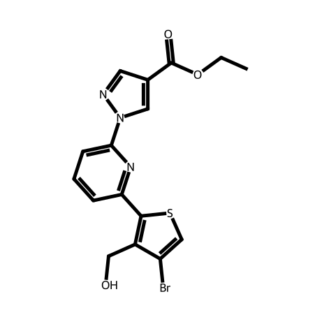 CCOC(=O)c1cnn(-c2cccc(-c3scc(Br)c3CO)n2)c1